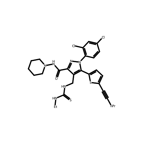 CCCC#Cc1ccc(-c2c(CNC(=S)NCC)c(C(=O)NN3CCCCC3)nn2-c2ccc(Cl)cc2Cl)s1